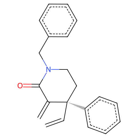 C=C[C@]1(c2ccccc2)CCN(Cc2ccccc2)C(=O)C1=C